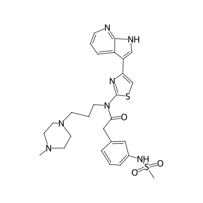 CN1CCN(CCCN(C(=O)Cc2cccc(NS(C)(=O)=O)c2)c2nc(-c3c[nH]c4ncccc34)cs2)CC1